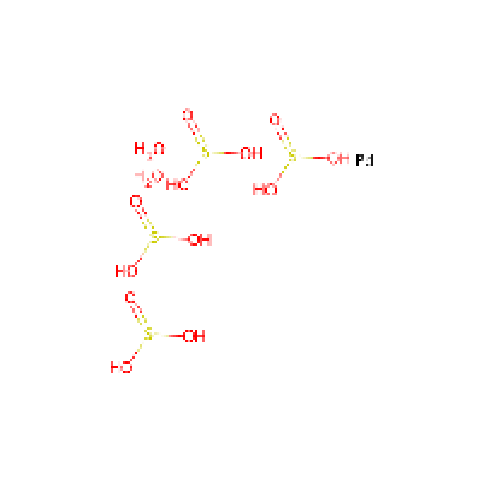 O.O.O=S(O)O.O=S(O)O.O=S(O)O.O=S(O)O.[Pd]